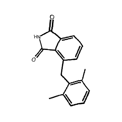 Cc1cccc(C)c1Cc1cccc2c1C(=O)NC2=O